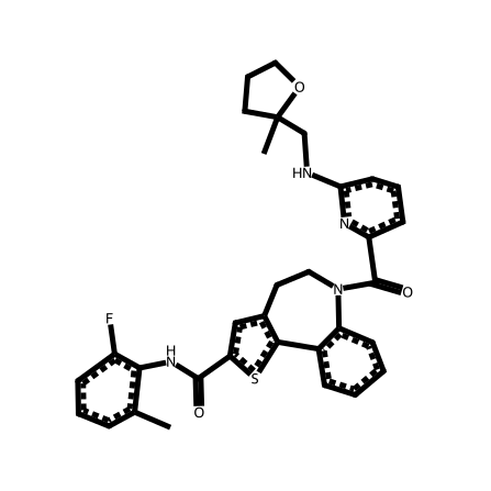 Cc1cccc(F)c1NC(=O)c1cc2c(s1)-c1ccccc1N(C(=O)c1cccc(NCC3(C)CCCO3)n1)CC2